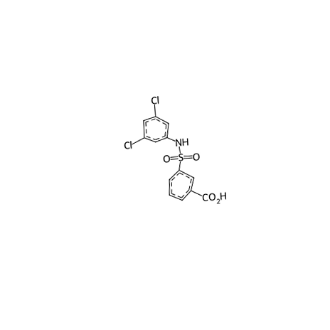 O=C(O)c1cccc(S(=O)(=O)Nc2cc(Cl)cc(Cl)c2)c1